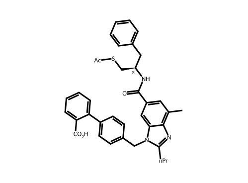 CCCc1nc2c(C)cc(C(=O)N[C@@H](CSC(C)=O)Cc3ccccc3)cc2n1Cc1ccc(-c2ccccc2C(=O)O)cc1